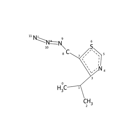 CC(C)c1ncsc1CN=[N+]=[N-]